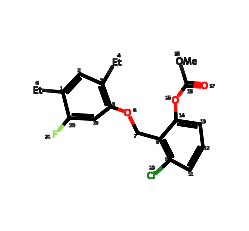 CCc1cc(CC)c(OCc2c(Cl)cccc2OC(=O)OC)cc1F